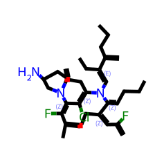 C=CC/C(=C(Cl)\C(=C(\F)C(=C)C)N1CCC(N)C1)N(/C=C(\CC)C(=C)CCC)C(=C\CCC)/C(=C\C(=C)F)CC